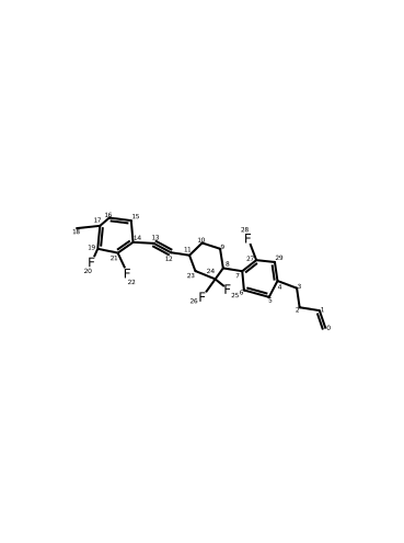 C=CCCc1ccc(C2CCC(C#Cc3ccc(C)c(F)c3F)CC2(F)F)c(F)c1